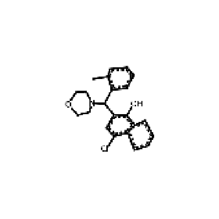 Cc1ccccc1C(c1cc(Cl)c2ccccc2c1O)N1CCOCC1